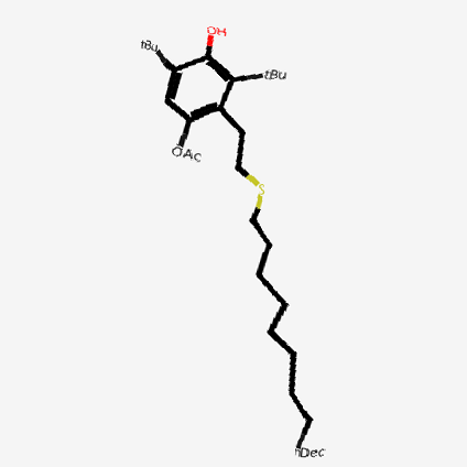 CCCCCCCCCCCCCCCCCCSCCc1c(OC(C)=O)cc(C(C)(C)C)c(O)c1C(C)(C)C